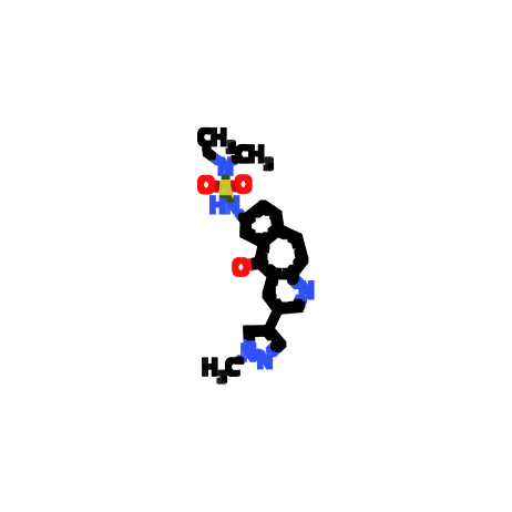 CCN(C)S(=O)(=O)Nc1ccc2ccc3ncc(-c4cnn(C)c4)cc3c(=O)c2c1